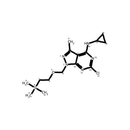 Cc1nn(COCC[Si](C)(C)C)c2nc(Cl)nc(NC3CC3)c12